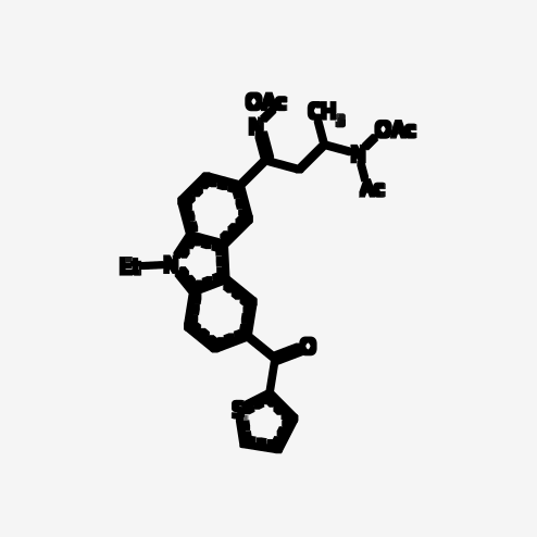 CCn1c2ccc(C(=O)c3cccs3)cc2c2cc(/C(CC(C)N(OC(C)=O)C(C)=O)=N/OC(C)=O)ccc21